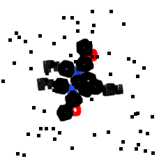 CC(C)c1ccc(N(c2ccc3oc4ccccc4c3c2)c2cc(N(c3ccc(C(C)C)cc3)c3ccc4oc5ccccc5c4c3)c3ccc4cc(C(C)(C)C)cc5ccc2c3c54)cc1